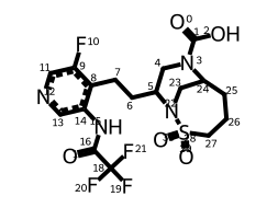 O=C(O)N1CC(CCc2c(F)cncc2NC(=O)C(F)(F)F)N2CC1CCCS2(=O)=O